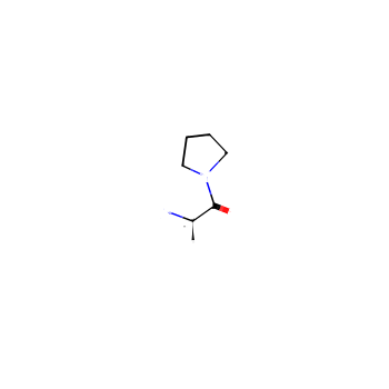 C[C@@H](N)C(=O)N1CCCC1